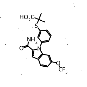 CC(C)(Sc1cccc(-n2c(C(N)=O)cc3ccc(OC(F)(F)F)cc32)c1)C(=O)O